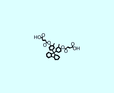 Cc1cc(C2(c3ccc(OC(=O)/C=C/C(=O)O)c(C)c3)c3ccccc3-c3ccccc32)ccc1OC(=O)/C=C/C(=O)O